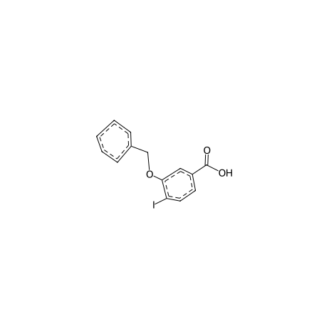 O=C(O)c1ccc(I)c(OCc2ccccc2)c1